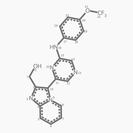 OCc1nc2ccccn2c1-c1cncc(Nc2ccc(OC(F)(F)F)cc2)n1